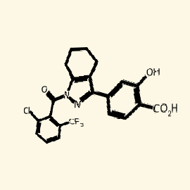 O=C(O)c1ccc(-c2nn(C(=O)c3c(Cl)cccc3C(F)(F)F)c3c2CCCC3)cc1O